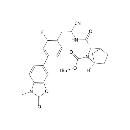 Cn1c(=O)oc2cc(-c3ccc(CC(C#N)NC(=O)[C@@H]4C5CC[C@H](C5)N4C(=O)OC(C)(C)C)c(F)c3)ccc21